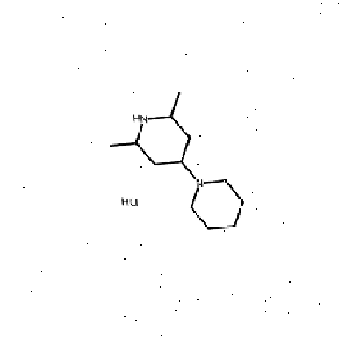 CC1CC(N2CCCCC2)CC(C)N1.Cl